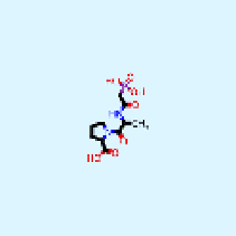 CC(NC(=O)CP(=O)(O)O)C(=O)N1CCCC1C(=O)O